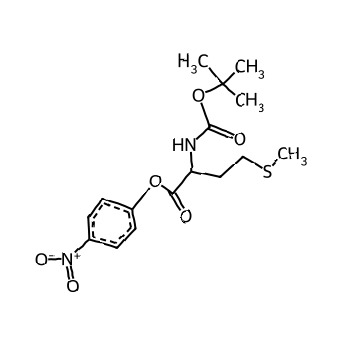 CSCCC(NC(=O)OC(C)(C)C)C(=O)Oc1ccc([N+](=O)[O-])cc1